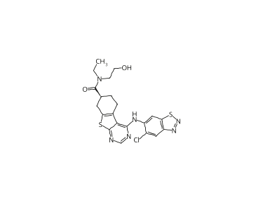 CCN(CCO)C(=O)[C@H]1CCc2c(sc3ncnc(Nc4cc5snnc5cc4Cl)c23)C1